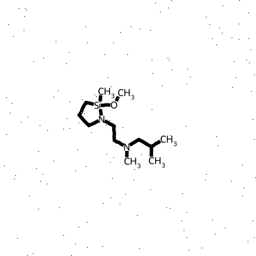 CO[Si]1(C)CCCN1CCN(C)CC(C)C